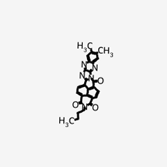 CCCCN1C(=O)c2ccc3c(=O)n4c5nc6cc(C)c(C)cc6nc5nc4c4ccc(c2c34)C1=O